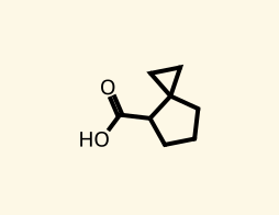 O=C(O)C1CCCC12CC2